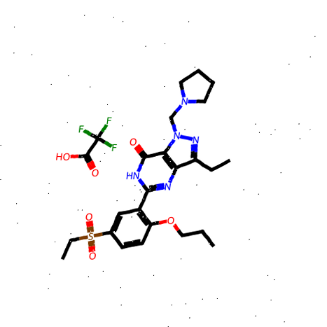 CCCOc1ccc(S(=O)(=O)CC)cc1-c1nc2c(CC)nn(CN3CCCC3)c2c(=O)[nH]1.O=C(O)C(F)(F)F